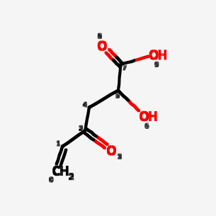 C=CC(=O)CC(O)C(=O)O